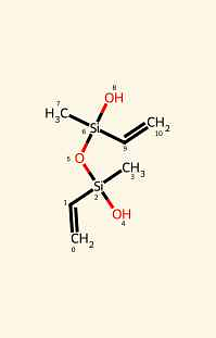 C=C[Si](C)(O)O[Si](C)(O)C=C